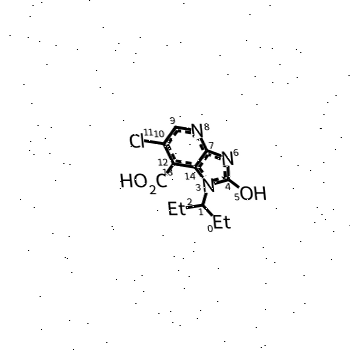 CCC(CC)n1c(O)nc2ncc(Cl)c(C(=O)O)c21